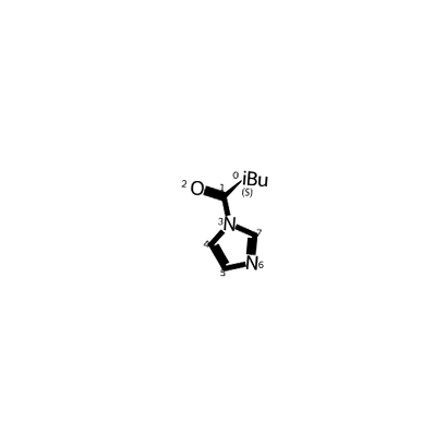 CC[C@H](C)C(=O)n1ccnc1